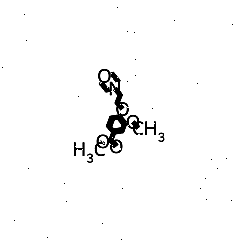 COC(=O)c1ccc(OCCN2CCOCC2)c(OC)c1